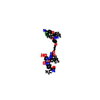 Cc1ncoc1-c1ccc(CNC(=O)[C@@H]2C[C@@H](O)CN2C(=O)C(NC(=O)COCCCCCOc2ccc(C(=O)N[C@H]3C(C)(C)[C@H](Oc4ccc(C#N)c(C(F)(F)F)c4)C3(C)C)cc2)C(C)(C)C)cc1